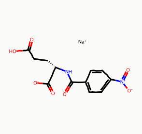 O=C(O)CC[C@H](NC(=O)c1ccc([N+](=O)[O-])cc1)C(=O)[O-].[Na+]